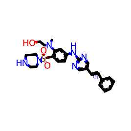 CN(CCO)c1cc(Nc2ncc(/C=C/c3ccccc3)cn2)ccc1S(=O)(=O)N1CCNCC1